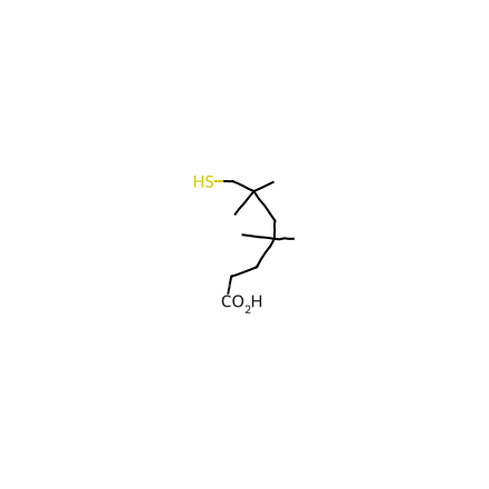 CC(C)(CS)CC(C)(C)CCC(=O)O